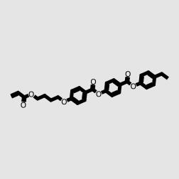 C=CC(=O)OCCCCOc1ccc(C(=O)Oc2ccc(C(=O)Oc3ccc(CC)cc3)cc2)cc1